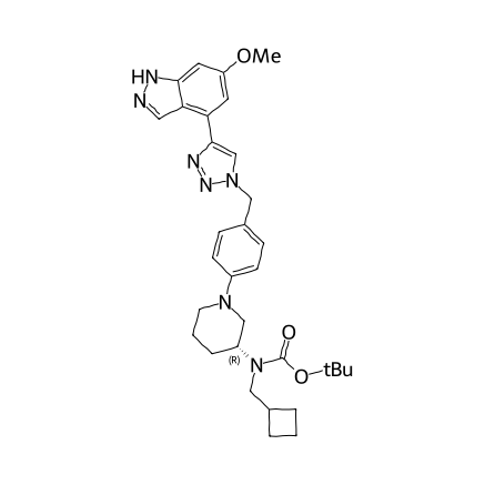 COc1cc(-c2cn(Cc3ccc(N4CCC[C@@H](N(CC5CCC5)C(=O)OC(C)(C)C)C4)cc3)nn2)c2cn[nH]c2c1